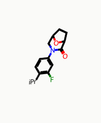 CC(C)c1ccc(N2CC3CCC(O3)C2=O)cc1F